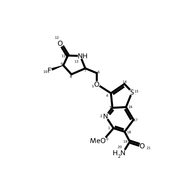 COc1nc2c(OCC3C[C@@H](F)C(=O)N3)csc2cc1C(N)=O